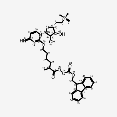 C=P(C)(C)CC[C@H]1O[C@@H](n2ccc(=N)nc2NCCCCC(C)C(=O)OOC(=O)OCC2c3ccccc3-c3ccccc32)[C@H](O)[C@@H]1O